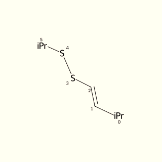 CC(C)/C=C/SSC(C)C